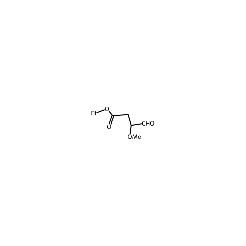 CCOC(=O)CC(C=O)OC